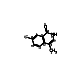 Cc1c[nH]c(=O)c2cc(F)ccc12